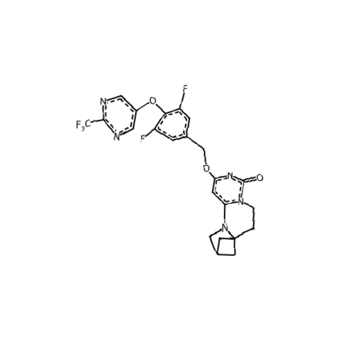 O=c1nc(OCc2cc(F)c(Oc3cnc(C(F)(F)F)nc3)c(F)c2)cc2n1CCC13CC(CN21)C3